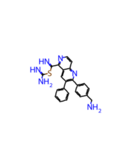 N=C(N)SC(=N)c1nccc2nc(-c3ccc(CN)cc3)c(-c3ccccc3)cc12